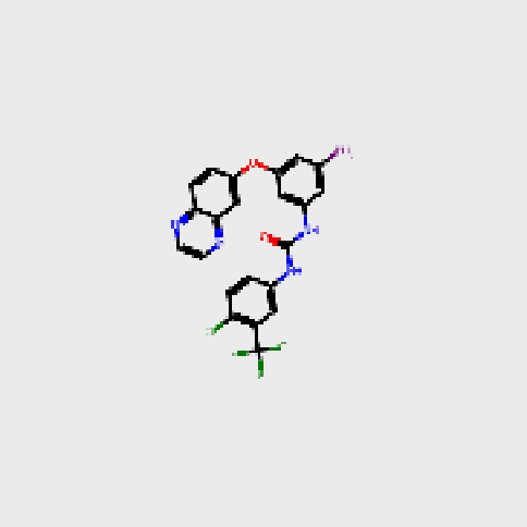 O=C(Nc1cc(P)cc(Oc2ccc3nccnc3c2)c1)Nc1ccc(Cl)c(C(F)(F)F)c1